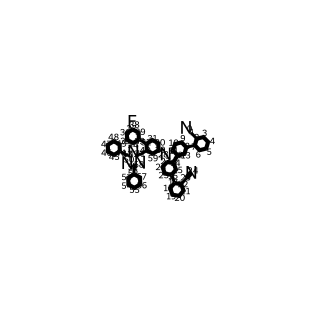 N#Cc1ccccc1-c1ccc2c(c1)c1cc(-c3ccccc3C#N)ccc1n2-c1ccc(-c2cccc(F)c2)c(-c2nc(-c3ccccc3)nc(-c3ccccc3)n2)c1